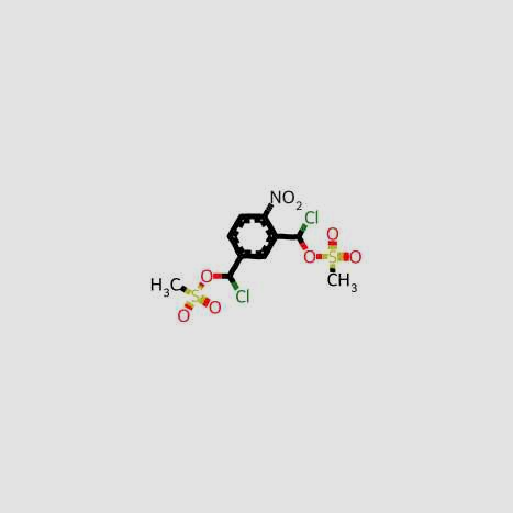 CS(=O)(=O)OC(Cl)c1ccc([N+](=O)[O-])c(C(Cl)OS(C)(=O)=O)c1